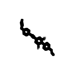 CC#CCc1ccc(C#Cc2cc(F)c(-c3ccc(CCC)cc3)c(F)c2)cc1